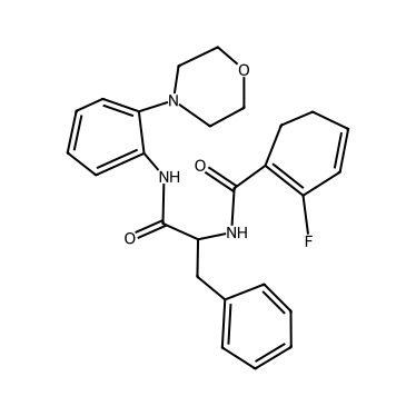 O=C(NC(Cc1ccccc1)C(=O)Nc1ccccc1N1CCOCC1)C1=C(F)C=CCC1